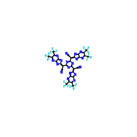 N#CC(=C1N=c2nc(C(F)(F)F)c(C(F)(F)F)nc2=N1)c1nc(C(C#N)=C2N=c3nc(C(F)(F)F)c(C(F)(F)F)nc3=N2)nc(C(C#N)=C2N=c3nc(C(F)(F)F)c(C(F)(F)F)nc3=N2)n1